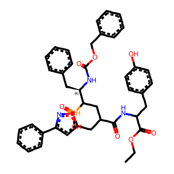 CCOC(=O)C(Cc1ccc(O)cc1)NC(=O)C(Cc1cc(-c2ccccc2)no1)CC([C@@H](Cc1ccccc1)NC(=O)OCc1ccccc1)[PH](=O)O